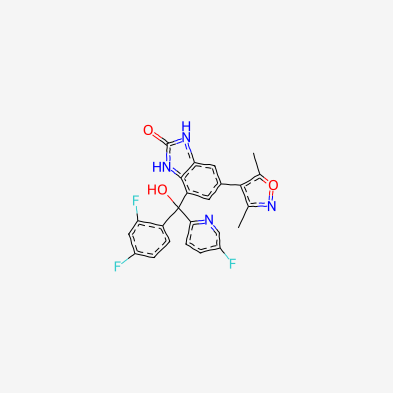 Cc1noc(C)c1-c1cc(C(O)(c2ccc(F)cn2)c2ccc(F)cc2F)c2[nH]c(=O)[nH]c2c1